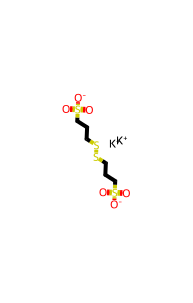 O=S(=O)([O-])CCCSSCCCS(=O)(=O)[O-].[K+].[K+]